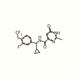 Cc1nc(C(=O)NC(c2ccc(SC(F)(F)F)c(F)c2)C2CC2)cc(=O)[nH]1